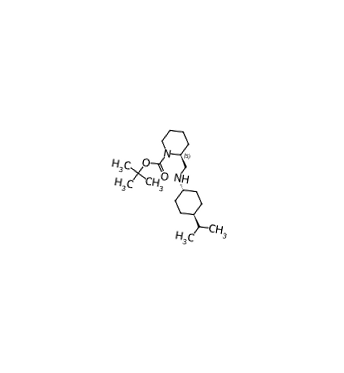 CC(C)[C@H]1CC[C@H](NC[C@@H]2CCCCN2C(=O)OC(C)(C)C)CC1